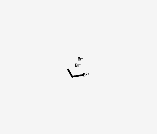 [B+2]CC.[Br-].[Br-]